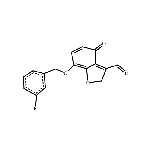 O=CC1=C2C(=O)C=CC(OCc3cccc(F)c3)=C2OC1